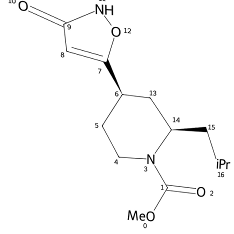 COC(=O)N1CC[C@@H](c2cc(=O)[nH]o2)C[C@H]1CC(C)C